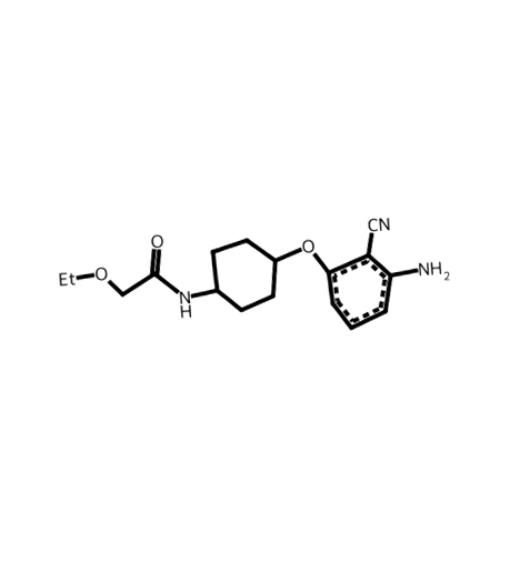 CCOCC(=O)NC1CCC(Oc2cccc(N)c2C#N)CC1